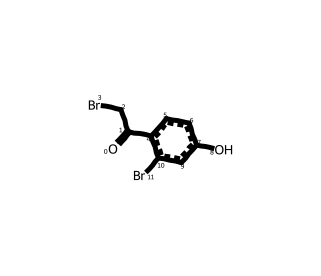 O=C(CBr)c1ccc(O)cc1Br